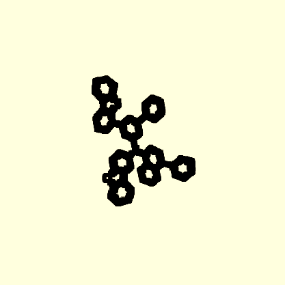 c1ccc(-c2cc(-c3cccc4c3sc3ccccc34)cc(N(c3ccc4oc5ccccc5c4c3)c3ccc(-c4ccccc4)c4ccccc34)c2)cc1